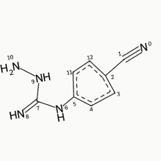 N#Cc1ccc(NC(=N)NN)cc1